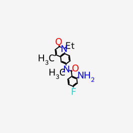 CCn1c(=O)cc(C)c2cc(N(C)C(=O)c3ccc(F)cc3N)ccc21